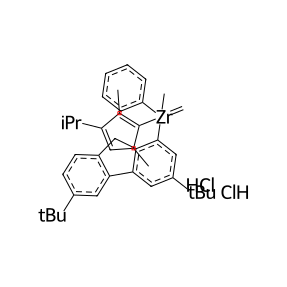 Cl.Cl.[CH2]=[Zr]([CH3])([C]1=C(C)C(C(C)C)=CC1C)([c]1ccccc1)[c]1cc(C(C)(C)C)cc2c1Cc1ccc(C(C)(C)C)cc1-2